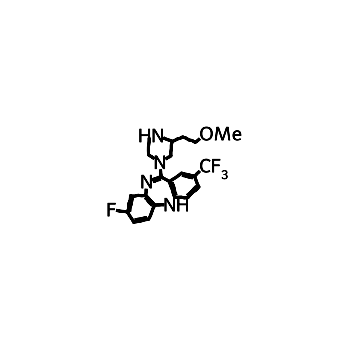 COCCC1CN(C2=Nc3cc(F)ccc3Nc3ccc(C(F)(F)F)cc32)CCN1